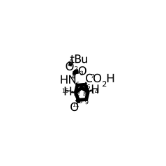 CC(C)(C)OC(=O)N[C@H]1[C@@H](C(=O)O)[C@@H]2CC(=O)[C@H]1C2